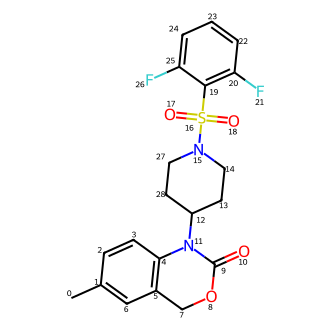 Cc1ccc2c(c1)COC(=O)N2C1CCN(S(=O)(=O)c2c(F)cccc2F)CC1